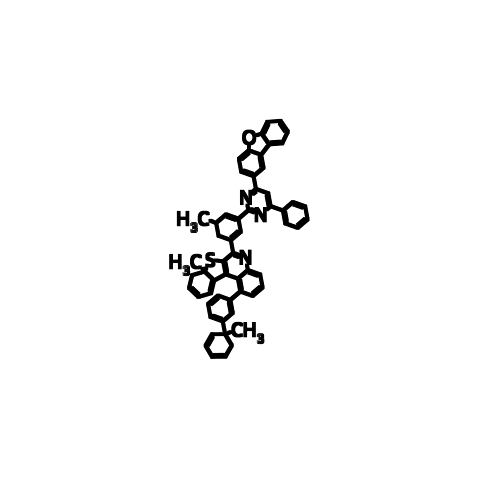 CC1C=C(c2nc(-c3ccccc3)cc(-c3ccc4oc5ccccc5c4c3)n2)C=C(c2nc3cccc(-c4cccc(C5(C)C=CC=CC5)c4)c3c3c2SC2(C)CC=CC=C32)C1